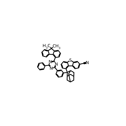 CC1(C)c2ccccc2-c2c(-c3nc(-c4ccccc4)nc(-c4cccc(C5(c6cccc7sc8cc(C#N)ccc8c67)C6CC7CC(C6)CC5C7)c4)n3)cccc21